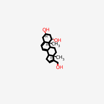 C[C@]12C(=CC=C3C1CC[C@]1(C)C(CO)=CCC31)C[C@@H](O)C[C@@H]2O